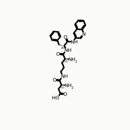 N[C@@H](CC(=O)O)C(=O)NCCC[C@H](N)C(=O)N[C@H](Cc1ccccc1)C(=O)Nc1cnc2ccccc2c1